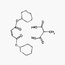 CC(C(=O)O)C(=O)O.O=C(/C=C\C(=O)OC1CCCCC1)OC1CCCCC1